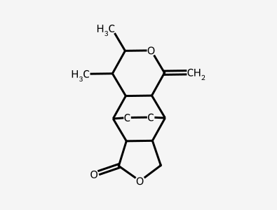 C=C1OC(C)C(C)C2C3CCC(C4COC(=O)C43)C12